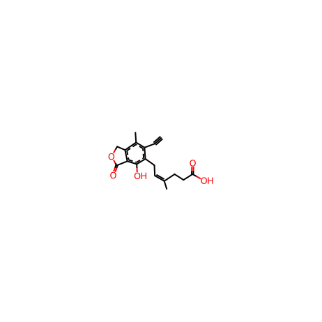 C#Cc1c(C)c2c(c(O)c1CC=C(C)CCC(=O)O)C(=O)OC2